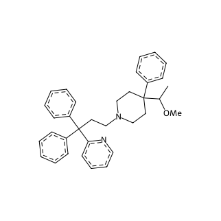 COC(C)C1(c2ccccc2)CCN(CCC(c2ccccc2)(c2ccccc2)c2ccccn2)CC1